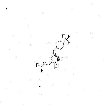 Cl.FC(F)OCC1CN(CC2CCC(C(F)(F)F)CC2)CCN1